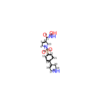 O=C(NO)C1=CCN(S(=O)(=O)c2ccc(C3=CCNCC3)cc2)C1